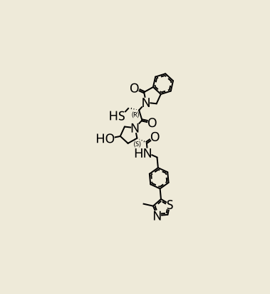 Cc1ncsc1-c1ccc(CNC(=O)[C@@H]2CC(O)CN2C(=O)[C@H](CS)N2Cc3ccccc3C2=O)cc1